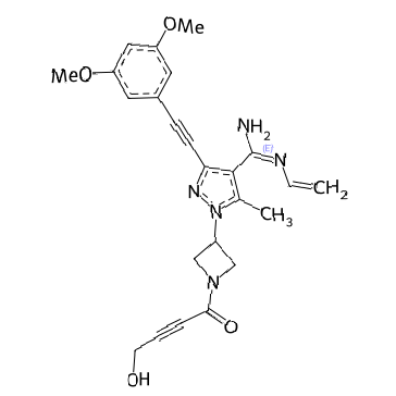 C=C/N=C(/N)c1c(C#Cc2cc(OC)cc(OC)c2)nn(C2CN(C(=O)C#CCO)C2)c1C